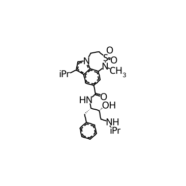 CC(C)NC[C@@H](O)[C@H](Cc1ccccc1)NC(=O)c1cc2c3c(c1)c(C(C)C)cn3CCS(=O)(=O)N2C